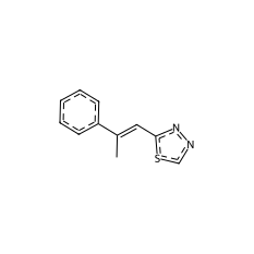 CC(=Cc1nncs1)c1ccccc1